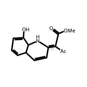 COC(=O)/C(C(C)=O)=C1/C=CC2C=CC=C(O)C2N1